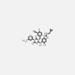 Cc1cncc(-n2c(=O)nc(Nc3cc4sc(NCC5CC5)nc4cc3Cl)n(Cc3ccc(F)c(C#N)c3)c2=O)c1